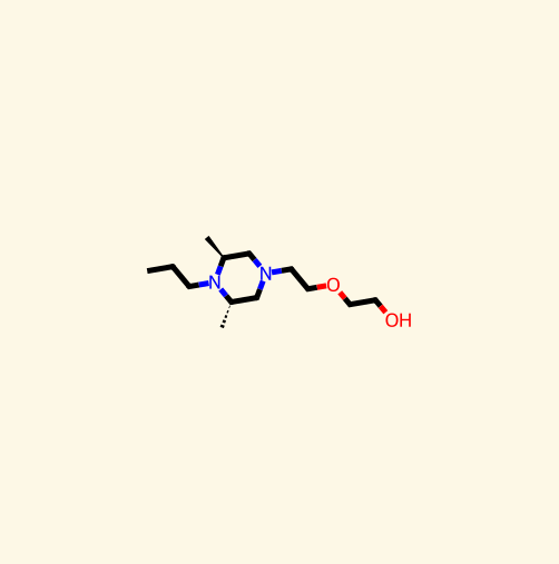 CCCN1[C@@H](C)CN(CCOCCO)C[C@@H]1C